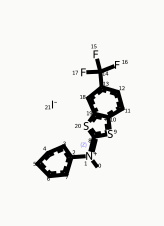 C/[N+](c1ccccc1)=c1\sc2ccc(C(F)(F)F)cc2s1.[I-]